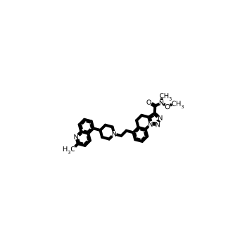 CON(C)C(=O)c1nnn2c1CCc1c(CCN3CCC(c4cccc5nc(C)ccc45)CC3)cccc1-2